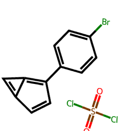 Brc1ccc(-c2ccc3cc2-3)cc1.O=S(=O)(Cl)Cl